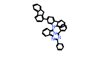 c1ccc(-c2nc(-c3ccccc3)n3c(-n4c5ccccc5c5ccc(-c6cccc7c6Cc6ccccc6-7)cc54)c4ccccc4c3n2)cc1